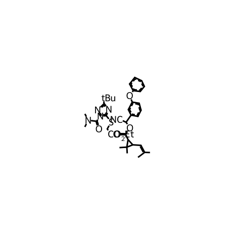 CC(C)=CC1C(C(=O)OC(C#N)c2cccc(Oc3ccccc3)c2)C1(C)C.CCOC(=O)CSc1nc(C(C)(C)C)nn1C(=O)N(C)C